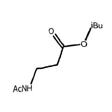 CCC(C)OC(=O)CCNC(C)=O